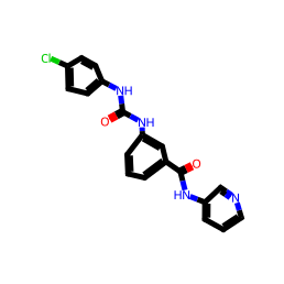 O=C(Nc1ccc(Cl)cc1)Nc1cccc(C(=O)Nc2cccnc2)c1